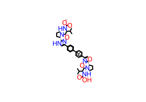 COC(=O)N[C@H](C(=O)N1CCC[C@H]1c1nc(-c2ccc(C34CCC(c5coc([C@@H]6CCCN6C(=O)[C@@H](NC(=O)O)C(C)C)n5)(CC3)CC4)cc2)c[nH]1)C(C)C